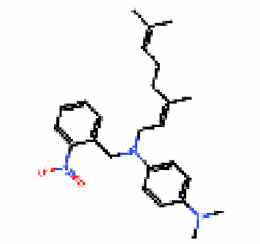 CC(C)=CCCC(C)=CCN(Cc1ccccc1[N+](=O)[O-])c1ccc(N(C)C)cc1